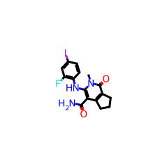 Cn1c(Nc2ccc(I)cc2F)c(C(N)=O)c2c(c1=O)CCC2